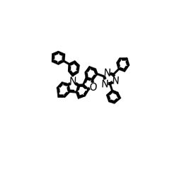 c1ccc(-c2cccc(-n3c4ccccc4c4ccc5oc6c(-c7nc(-c8ccccc8)nc(-c8ccccc8)n7)cccc6c5c43)c2)cc1